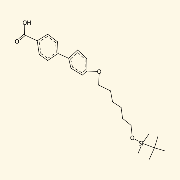 CC(C)(C)[Si](C)(C)OCCCCCCOc1ccc(-c2ccc(C(=O)O)cc2)cc1